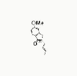 CC=CC[C@H]1Cc2cc(OC)ccc2C1=O